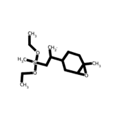 [CH2]C(C[Si](C)(OCC)OCC)C1CCC2(C)OC2C1